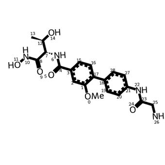 COc1cc(C(=O)N[C@H](C(=O)NO)[C@@H](C)O)ccc1-c1ccc(NC(=O)CN)cc1